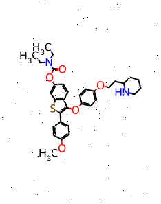 CCN(CC)C(=O)Oc1ccc2c(Oc3ccc(OCCC4CCCCN4)cc3)c(-c3ccc(OC)cc3)sc2c1